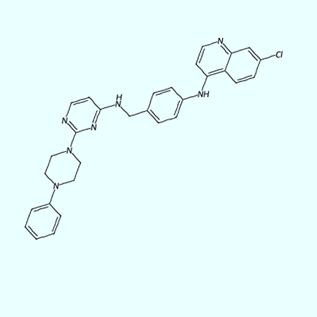 Clc1ccc2c(Nc3ccc(CNc4ccnc(N5CCN(c6ccccc6)CC5)n4)cc3)ccnc2c1